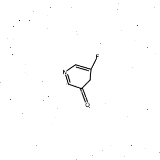 O=C1[C]=NC=C(F)C1